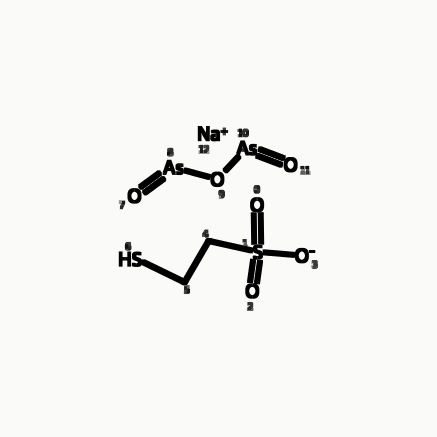 O=S(=O)([O-])CCS.O=[As]O[As]=O.[Na+]